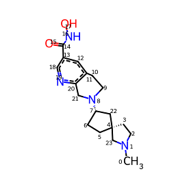 CN1CC[C@@]2(CC[C@H](N3CCc4cc(C(=O)NO)cnc4C3)C2)C1